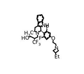 CCC1CN(CCOc2cc(F)c([C@@H]3c4[nH]c5ccccc5c4C[C@@H](C)N3C[C@H](CO)C(F)(F)F)c(F)c2)C1